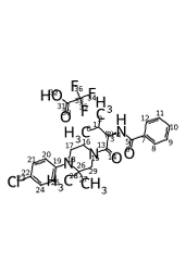 CC(C)[C@@H](NC(=O)c1ccccc1)C(=O)N1CCN(c2ccc(Cl)cc2)C(C)(C)C1.O=C(O)C(F)(F)F